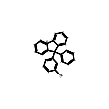 Oc1cccc(C2(c3ccccc3)c3ccccc3-c3ccccc32)c1